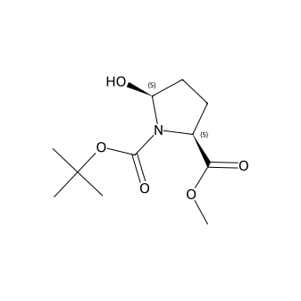 COC(=O)[C@@H]1CC[C@H](O)N1C(=O)OC(C)(C)C